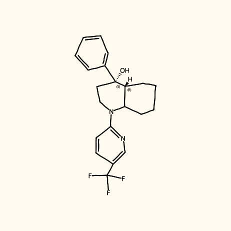 O[C@@]1(c2ccccc2)CCN(c2ccc(C(F)(F)F)cn2)C2CCCC[C@H]21